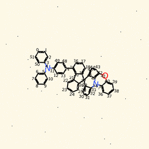 c1ccc(N(c2ccccc2)c2ccc(-c3cccc4c3-c3ccccc3C43c4ccccc4N4c5ccccc5Oc5cccc3c54)cc2)cc1